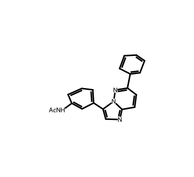 CC(=O)Nc1cccc(-c2cnc3ccc(-c4ccccc4)nn23)c1